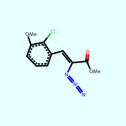 COC(=O)C(=Cc1cccc(OC)c1Cl)N=[N+]=[N-]